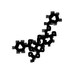 CC(=O)OC1OC(n2ccc(=O)n(COCc3ccccc3)c2=O)C(C)(F)C1OC(=O)c1ccccc1